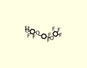 CCOc1ccc(OCc2ccc(C(F)(F)Oc3cc(F)c(F)c(F)c3)cc2)c(F)c1F